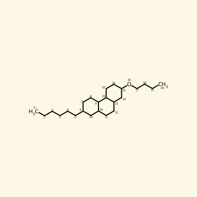 CCCCCCC1CCC2C(CCC3CC(OCCCC)CCC32)C1